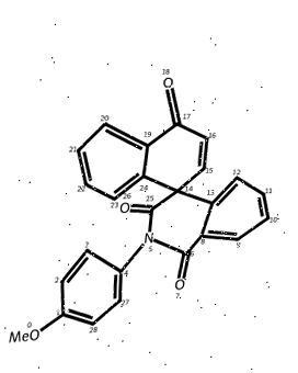 COc1ccc(N2C(=O)c3ccccc3C3(C=CC(=O)c4ccccc43)C2=O)cc1